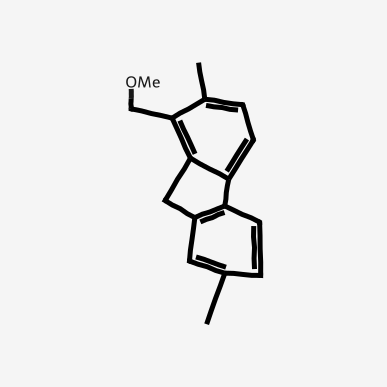 COCc1c(C)ccc2c1Cc1cc(C)ccc1-2